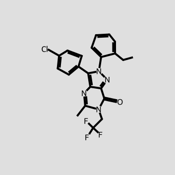 CCc1ccccc1-n1nc2c(=O)n(CC(F)(F)F)c(C)nc2c1-c1ccc(Cl)cc1